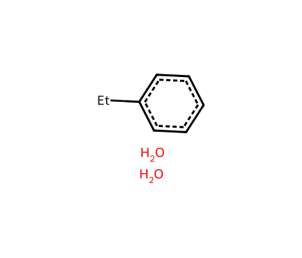 CCc1ccccc1.O.O